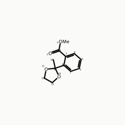 COC(=O)c1ccccc1C1(C)OCCO1